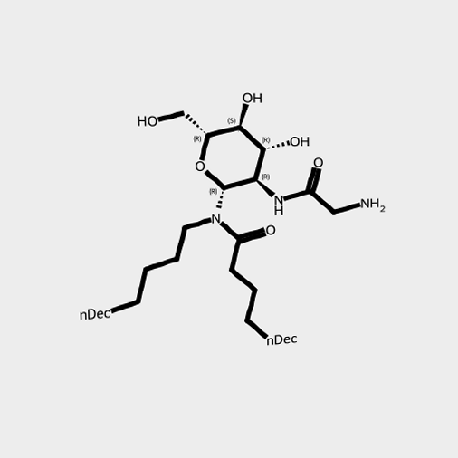 CCCCCCCCCCCCCCN(C(=O)CCCCCCCCCCCCC)[C@@H]1O[C@H](CO)[C@@H](O)[C@H](O)[C@H]1NC(=O)CN